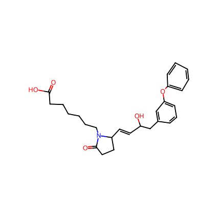 O=C(O)CCCCCCN1C(=O)CCC1/C=C/C(O)Cc1cccc(Oc2ccccc2)c1